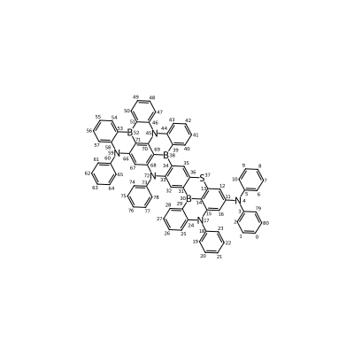 c1ccc(N(c2ccccc2)c2cc3c4c(c2)N(c2ccccc2)c2ccccc2B4c2cc4c(cc2S3)B2c3ccccc3N3c5ccccc5B5c6ccccc6N(c6ccccc6)c6cc(c2c3c65)N4c2ccccc2)cc1